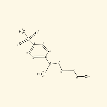 CS(=O)(=O)c1ccc(C(CCCCCl)C(=O)O)cc1